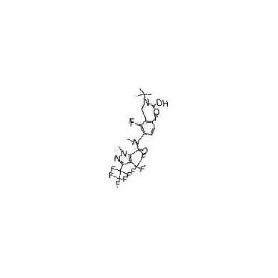 CN(C(=O)c1c(C(F)(F)F)c(C(F)(F)C(F)(F)F)nn1C)c1ccc(F)c(CN(C(=O)O)C(C)(C)C)c1F